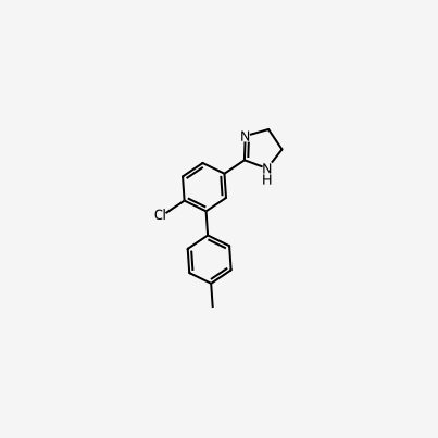 Cc1ccc(-c2cc(C3=NCCN3)ccc2Cl)cc1